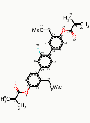 C=C(C)C(=O)Oc1ccc(-c2ccc(-c3ccc(OC(=O)C(=C)C)c(COC)c3)c(F)c2)c(COC)c1